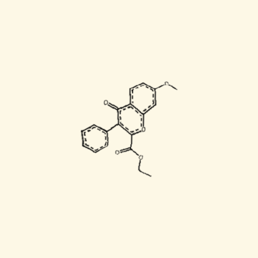 CCOC(=O)c1oc2cc(OC)ccc2c(=O)c1-c1ccccc1